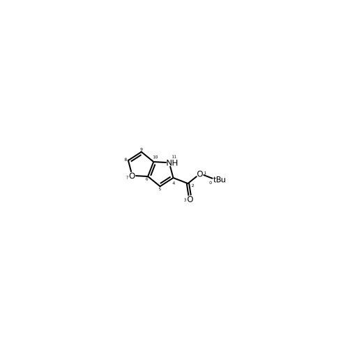 CC(C)(C)OC(=O)c1cc2occc2[nH]1